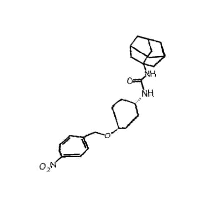 O=C(NC12CC3CC(CC(C3)C1)C2)N[C@H]1CC[C@H](OCc2ccc([N+](=O)[O-])cc2)CC1